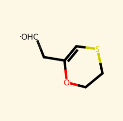 O=[C]CC1=CSCCO1